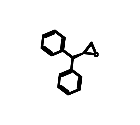 c1ccc(C(c2ccccc2)[C@H]2CO2)cc1